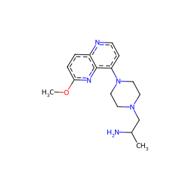 COc1ccc2nccc(N3CCN(CC(C)N)CC3)c2n1